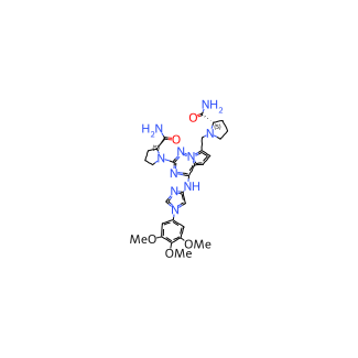 COc1cc(-n2cnc(Nc3nc(N4CCC[C@H]4C(N)=O)nn4c(CN5CCC[C@H]5C(N)=O)ccc34)c2)cc(OC)c1OC